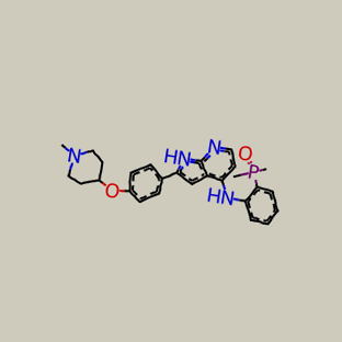 CN1CCC(Oc2ccc(-c3cc4c(Nc5ccccc5P(C)(C)=O)ccnc4[nH]3)cc2)CC1